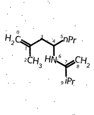 C=C(C)CC(CCC)NC(=C)C(C)C